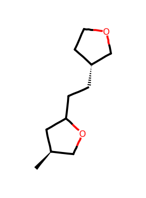 C[C@@H]1COC(CC[C@@H]2CCOC2)C1